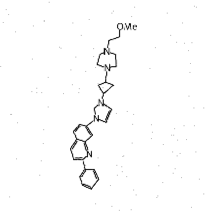 COCCN1CCN(C2CC(N3C=CN(c4ccc5ccc(-c6ccccc6)nc5c4)C3)C2)CC1